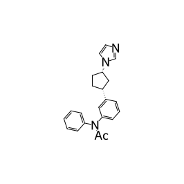 CC(=O)N(c1ccccc1)c1cccc([C@@H]2CC[C@H](n3ccnc3)C2)c1